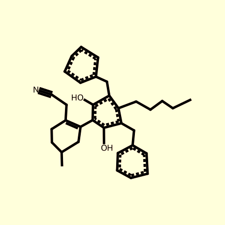 CCCCCc1c(Cc2ccccc2)c(O)c(C2=C(CC#N)CCC(C)C2)c(O)c1Cc1ccccc1